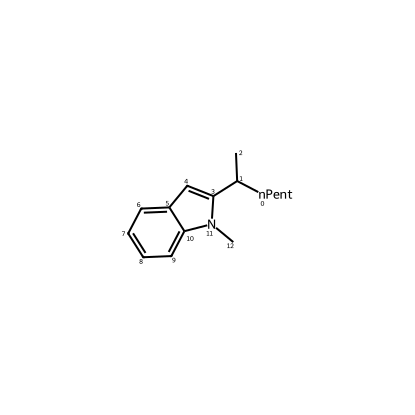 CCCCCC(C)c1cc2ccccc2n1C